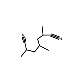 CC(C#N)CC(C)CC(C)C#N